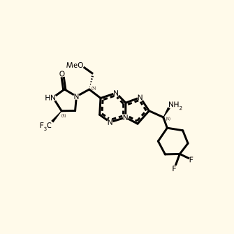 COC[C@H](c1cnn2cc([C@@H](N)C3CCC(F)(F)CC3)nc2n1)N1C[C@@H](C(F)(F)F)NC1=O